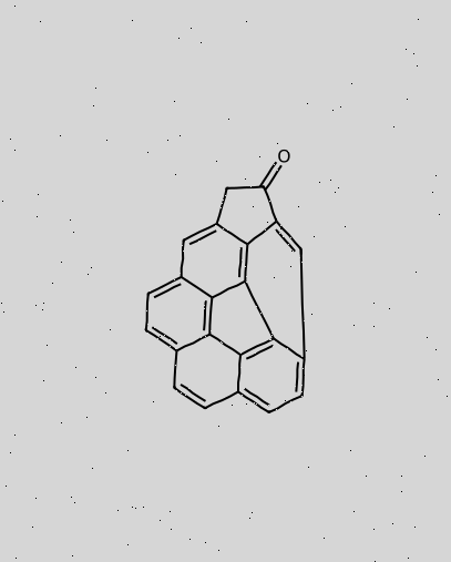 O=C1Cc2cc3ccc4ccc5ccc6cc1c2c1c3c4c5c61